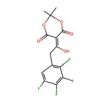 CC1(C)OC(=O)C(=C(O)Cc2cc(F)c(F)c(I)c2F)C(=O)O1